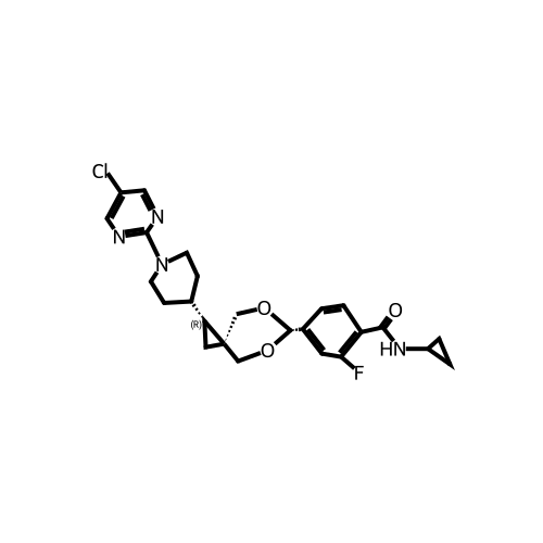 O=C(NC1CC1)c1ccc([C@H]2OC[C@]3(CO2)C[C@@H]3C2CCN(c3ncc(Cl)cn3)CC2)cc1F